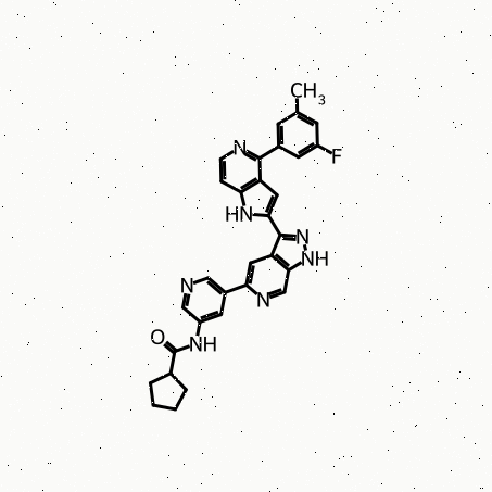 Cc1cc(F)cc(-c2nccc3[nH]c(-c4n[nH]c5cnc(-c6cncc(NC(=O)C7CCCC7)c6)cc45)cc23)c1